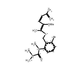 C=C(/C=C\C(OC)=C(/C)SCc1c(Br)cccc1N(N)C(=O)N(C)N)C(F)(F)F